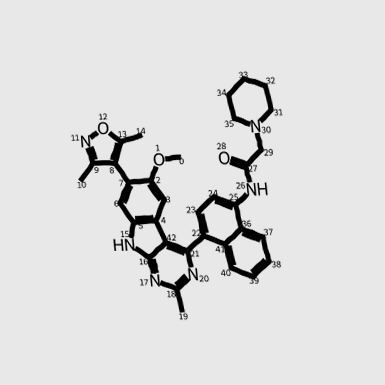 COc1cc2c(cc1-c1c(C)noc1C)[nH]c1nc(C)nc(-c3ccc(NC(=O)CN4CCCCC4)c4ccccc34)c12